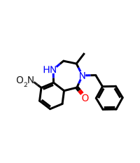 CC1CNC2=C([N+](=O)[O-])C=CCC2C(=O)N1Cc1ccccc1